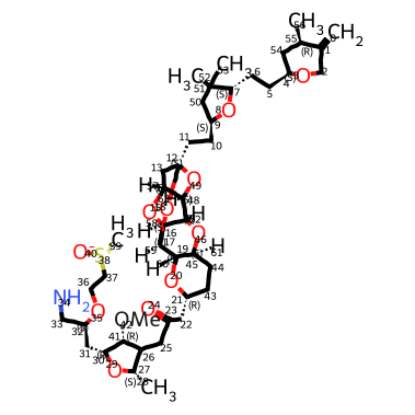 C=C1CO[C@@H](CC[C@@H]2O[C@@H](CC[C@@]34C[C@H]5O[C@@H]6[C@@H](O3)[C@H]3O[C@@H](CC(=O)CC7[C@H](C)O[C@H](C[C@@H](CN)OCC[S+](C)[O-])[C@@H]7OC)CC[C@@H]3O[C@H]6[C@H]5O4)CC2(C)C)C[C@H]1C